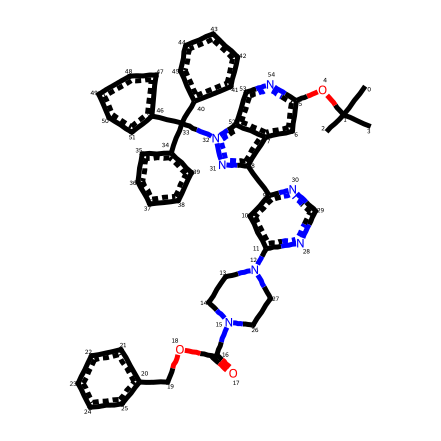 CC(C)(C)Oc1cc2c(-c3cc(N4CCN(C(=O)OCc5ccccc5)CC4)ncn3)nn(C(c3ccccc3)(c3ccccc3)c3ccccc3)c2cn1